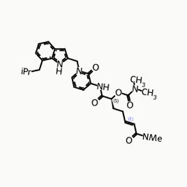 CNC(=O)/C=C/CC[C@H](OC(=O)N(C)C)C(=O)Nc1cccn(Cc2cc3cccc(CC(C)C)c3[nH]2)c1=O